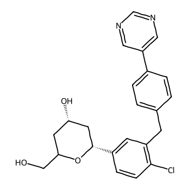 OCC1C[C@H](O)C[C@H](c2ccc(Cl)c(Cc3ccc(-c4cncnc4)cc3)c2)O1